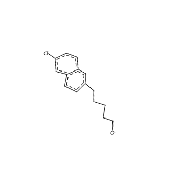 [O]CCCCCc1ccc2cc(Cl)ccc2c1